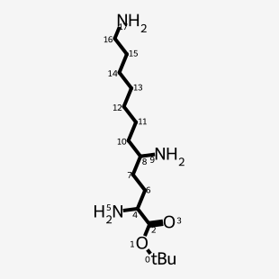 CC(C)(C)OC(=O)C(N)CCC(N)CCCCCCCN